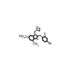 Cc1cc(C(=O)O)cc2c1nc(Cc1ccc(Br)cc1F)n2C[C@@H]1CCO1